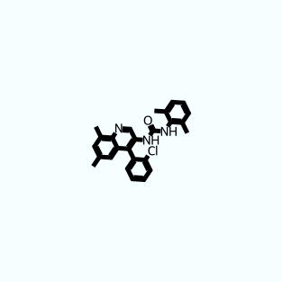 Cc1cc(C)c2ncc(NC(=O)Nc3c(C)cccc3C)c(-c3ccccc3Cl)c2c1